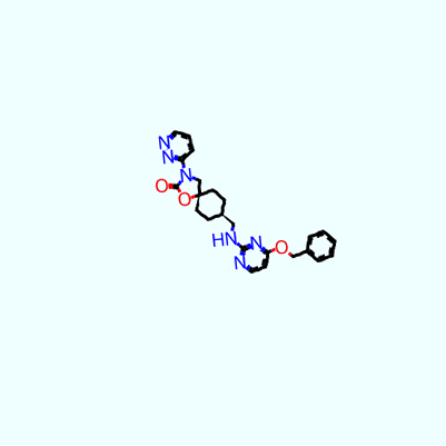 O=C1O[C@]2(CC[C@H](CNc3nccc(OCc4ccccc4)n3)CC2)CN1c1cccnn1